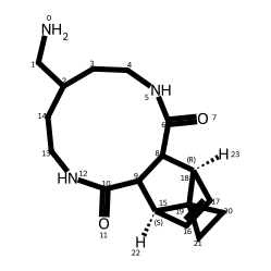 NCC1CCNC(=O)C2C(C(=O)NCC1)[C@@H]1C=C[C@H]2C12CC2